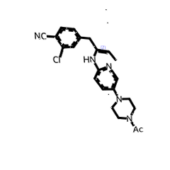 C/C=C(/Cc1ccc(C#N)c(Cl)c1)Nc1ccc(N2CCN(C(C)=O)CC2)cn1